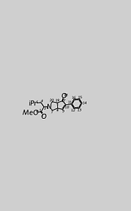 COC(=O)C(CC(C)C)N1CC2C=C(c3ccccc3)C(=O)C2C1